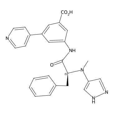 CN(c1cn[nH]c1)[C@@H](Cc1ccccc1)C(=O)Nc1cc(C(=O)O)cc(-c2ccncc2)c1